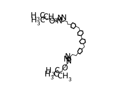 CC(C)(C)CCOCCn1cc(CCc2ccc(Cc3ccc(-c4ccc(Cc5ccc(CCc6cn(CCOCCC(C)(C)C)nn6)cc5)cc4)cc3)cc2)nn1